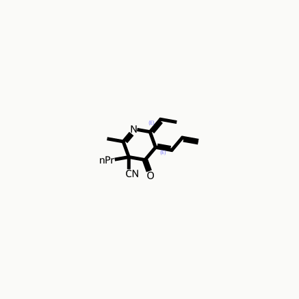 C=C/C=C1/C(=O)C(C#N)(CCC)C(C)=N/C1=C/C